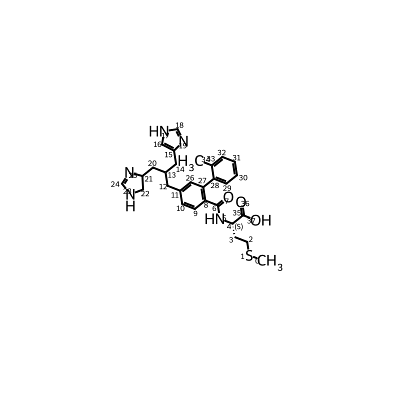 CSCC[C@H](NC(=O)c1ccc(CC(Cc2c[nH]cn2)CC2CNC=N2)cc1-c1ccccc1C)C(=O)O